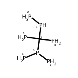 PPC(P)(P)P(P)P